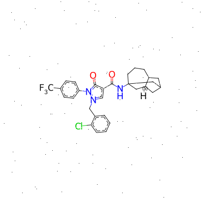 O=C(NC12CCCC3CC(C[C@H]3C1)C2)c1cn(Cc2ccccc2Cl)n(-c2ccc(C(F)(F)F)cc2)c1=O